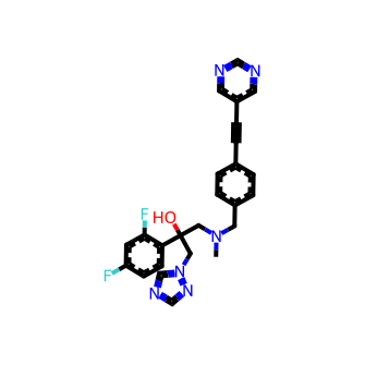 CN(Cc1ccc(C#Cc2cncnc2)cc1)CC(O)(Cn1cncn1)c1ccc(F)cc1F